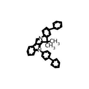 CC1(C)c2cc(-c3ccccc3)ccc2-n2cc3c4ccccc4n(-c4ccc(-c5ccccc5)cc4)c3c21